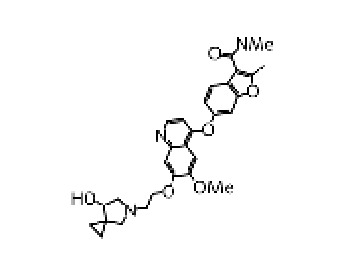 CNC(=O)c1c(C)oc2cc(Oc3ccnc4cc(OCCN5CC(O)C6(CC6)C5)c(OC)cc34)ccc12